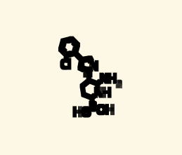 NC1NC(B(O)O)CCC1n1cc(-c2ccccc2Cl)cn1